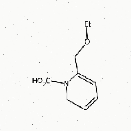 CCOCC1=CC=CCN1C(=O)O